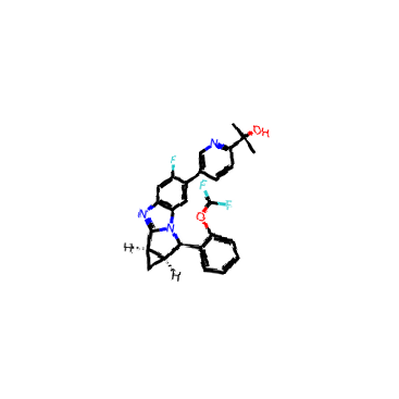 CC(C)(O)c1ccc(-c2cc3c(cc2F)nc2n3[C@@H](c3ccccc3OC(F)F)[C@H]3C[C@@H]23)cn1